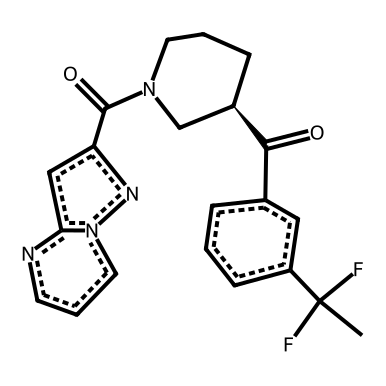 CC(F)(F)c1cccc(C(=O)[C@@H]2CCCN(C(=O)c3cc4ncccn4n3)C2)c1